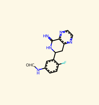 N=C1NC(c2cc(NC=O)ccc2F)Cc2nccnc21